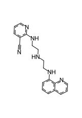 N#Cc1cccnc1NCCNCCNc1cccc2cccnc12